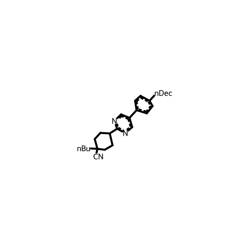 CCCCCCCCCCc1ccc(-c2cnc(C3CCC(C#N)(CCCC)CC3)nc2)cc1